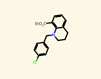 CCOC(=O)c1cccc2c1N(Cc1ccc(Cl)cc1)CCC2